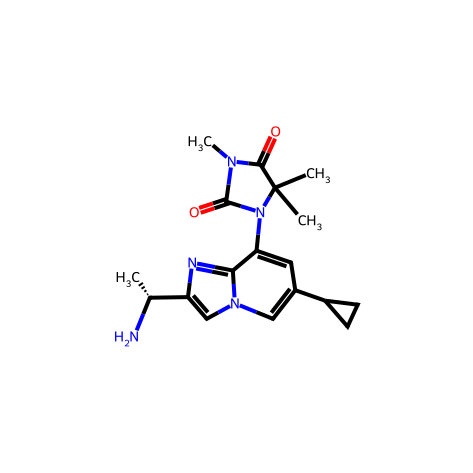 C[C@@H](N)c1cn2cc(C3CC3)cc(N3C(=O)N(C)C(=O)C3(C)C)c2n1